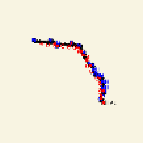 CC(=O)Nc1cc(C(=O)Nc2cc(C(=O)NCCC(=O)Nc3cc(C(=O)Nc4cn(C)c(C(=O)Nc5cc(C(=O)NCCCC(=O)Cc6cc(C(=O)Cc7cc(C(=O)Cc8cc(C(=O)CCCC(=O)Cc9cn(C)c(C(=O)Cc%10cc(C(=O)CCCC(=O)CCCCN(C)C)n(C)c%10)n9)n(C)c8)n(C)c7)n(C)c6)n(C)c5)n4)n(C)c3)n(C)c2)n(C)c1